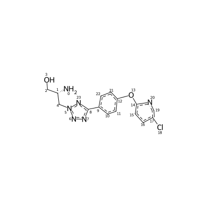 N[C@@H](CO)Cn1nnc(-c2ccc(Oc3ccc(Cl)cn3)cc2)n1